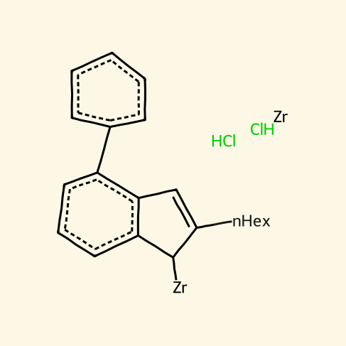 CCCCCCC1=Cc2c(-c3ccccc3)cccc2[CH]1[Zr].Cl.Cl.[Zr]